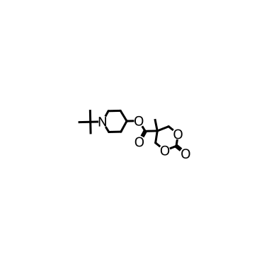 CC1(C(=O)OC2CCN(C(C)(C)C)CC2)COC(=O)OC1